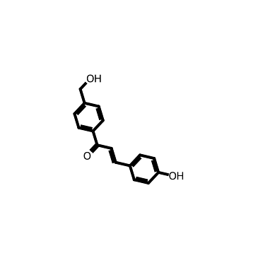 O=C(C=Cc1ccc(O)cc1)c1ccc(CO)cc1